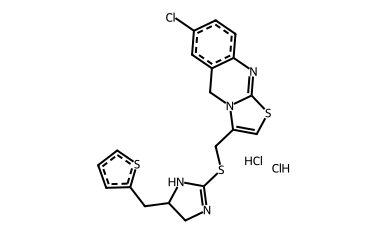 Cl.Cl.Clc1ccc2c(c1)CN1C(CSC3=NCC(Cc4cccs4)N3)=CSC1=N2